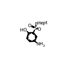 CCCCCCCS(=O)(=O)c1cc(N)ccc1O